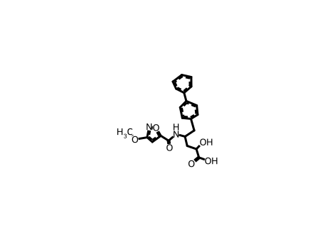 COc1cc(C(=O)NC(Cc2ccc(-c3ccccc3)cc2)CC(O)C(=O)O)on1